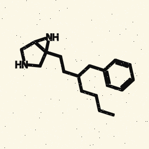 CCCCC(CCC12CNCC1N2)Cc1ccccc1